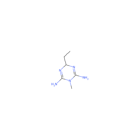 CCC1N=C(N)N(C)C(N)=N1